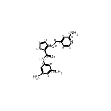 Cc1cc(C)cc(NC(=O)c2sccc2SCc2ccnc(N)c2)c1